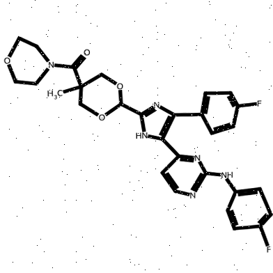 CC1(C(=O)N2CCOCC2)COC(c2nc(-c3ccc(F)cc3)c(-c3ccnc(Nc4ccc(F)cc4)n3)[nH]2)OC1